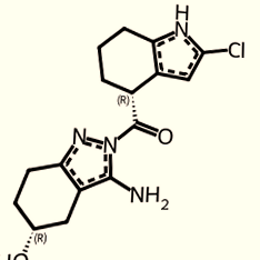 Nc1c2c(nn1C(=O)[C@@H]1CCCc3[nH]c(Cl)cc31)CC[C@@H](O)C2